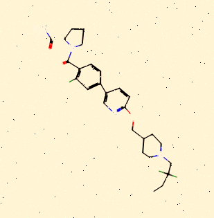 CCC(F)(F)CN1CCC(COc2ccc(-c3ccc(C(=O)N4CCC[C@H]4C(N)=O)c(F)c3)cn2)CC1